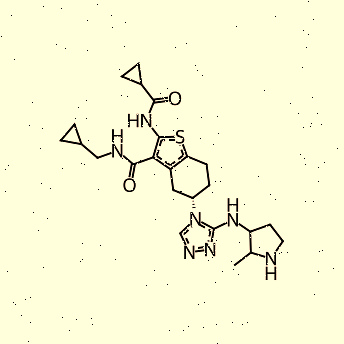 CC1NCCC1Nc1nncn1[C@H]1CCc2sc(NC(=O)C3CC3)c(C(=O)NCC3CC3)c2C1